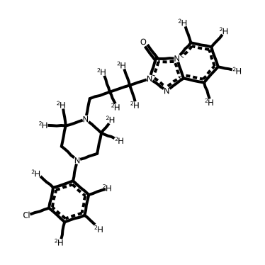 [2H]c1c([2H])c(Cl)c([2H])c(N2CC([2H])([2H])N(CC([2H])([2H])C([2H])([2H])n3nc4c([2H])c([2H])c([2H])c([2H])n4c3=O)C([2H])([2H])C2)c1[2H]